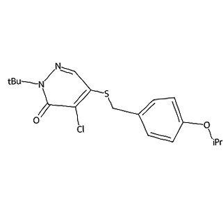 CC(C)Oc1ccc(CSc2cnn(C(C)(C)C)c(=O)c2Cl)cc1